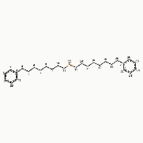 c1ccc(CCCCCCCCSCCCCCCCCc2ccccc2)cc1